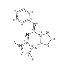 Cc1cn(C)c(=NC(=Nc2ccccc2)N2CCCC2)s1